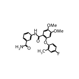 COc1cc(Oc2ccc(F)cc2C)c(C(=O)Nc2cccc(C(N)=O)c2)cc1OC